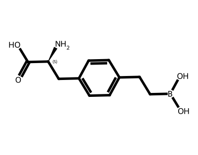 N[C@@H](Cc1ccc(CCB(O)O)cc1)C(=O)O